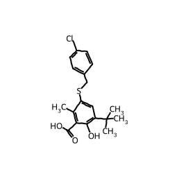 Cc1c(SCc2ccc(Cl)cc2)cc(C(C)(C)C)c(O)c1C(=O)O